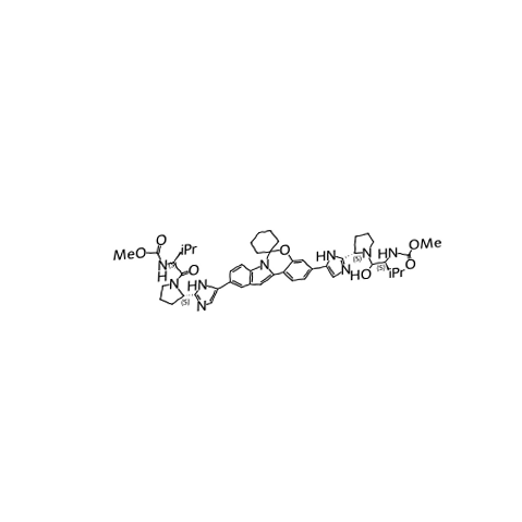 COC(=O)N[C@@H](C(C)C)C(O)N1CCC[C@H]1c1ncc(-c2ccc3c(c2)OC2(CCCCC2)n2c-3cc3cc(-c4cnc([C@@H]5CCCN5C(=O)[C@@H](NC(=O)OC)C(C)C)[nH]4)ccc32)[nH]1